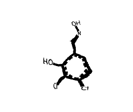 ON=Cc1ccc(Cl)c(Cl)c1O